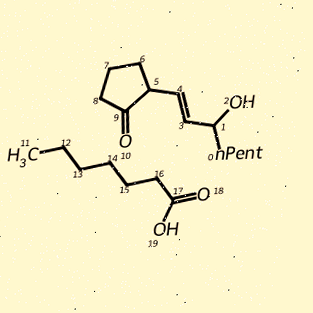 CCCCCC(O)C=CC1CCCC1=O.CCCCCCC(=O)O